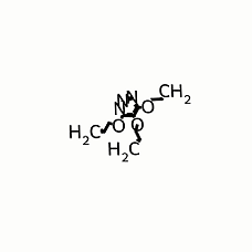 C=CCOc1nnnc(OCC=C)c1OCC=C